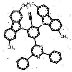 Cc1ccc2c3ccc(C)cc3n(-c3cc(-c4cc(-c5ccccc5)nc(-c5ccccc5)n4)cc(-n4c5cc(C)ccc5c5ccc(C)cc54)c3C#N)c2c1